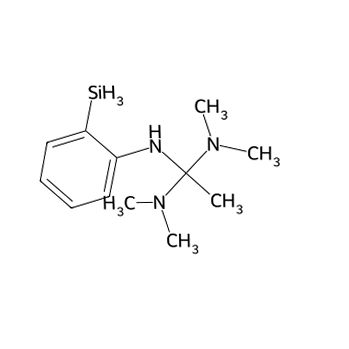 CN(C)C(C)(Nc1ccccc1[SiH3])N(C)C